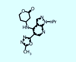 CCCn1ncc2c(NC3CCOC(=O)C3)c(-c3nnc(C)o3)cnc21